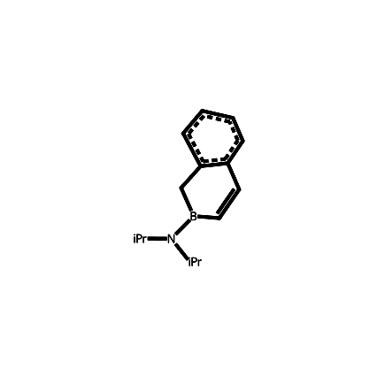 CC(C)N(B1C=Cc2ccccc2C1)C(C)C